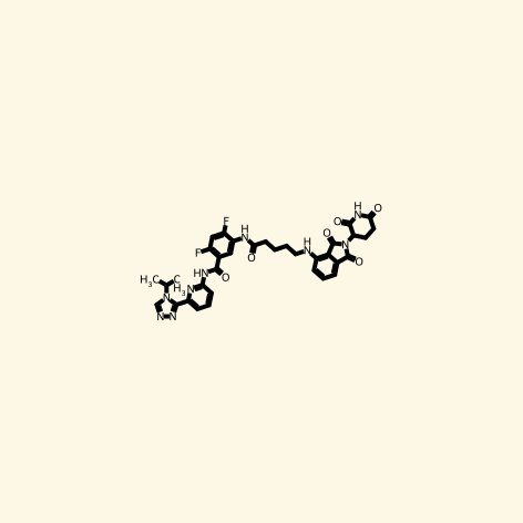 CC(C)n1cnnc1-c1cccc(NC(=O)c2cc(NC(=O)CCCCNc3cccc4c3C(=O)N(C3CCC(=O)NC3=O)C4=O)c(F)cc2F)n1